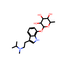 CC1OC(Oc2cccc3c(CCN(C)C(C)C)c[nH]c23)C(O)C(O)C1O